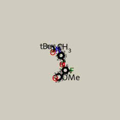 COC1(c2cc(F)cc(OCc3ccc(N(C)C(=O)CC(C)(C)C)cc3)c2)CCOCC1